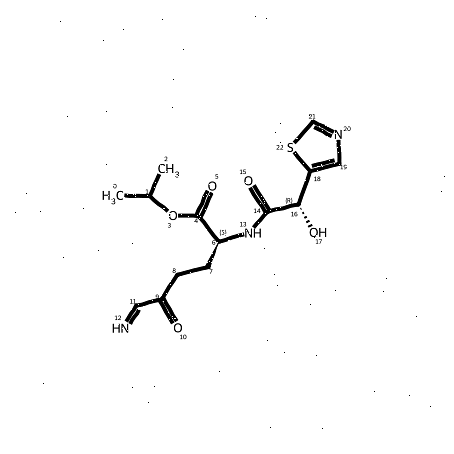 CC(C)OC(=O)[C@H](CCC(=O)C=N)NC(=O)[C@@H](O)c1cncs1